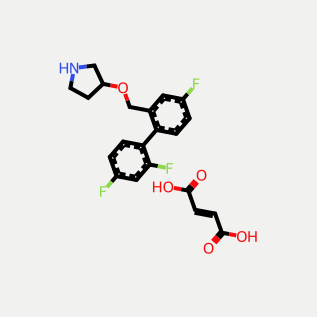 Fc1ccc(-c2ccc(F)cc2COC2CCNC2)c(F)c1.O=C(O)C=CC(=O)O